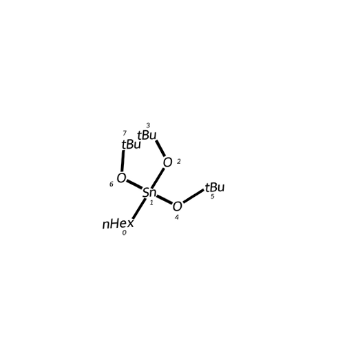 CCCCC[CH2][Sn]([O]C(C)(C)C)([O]C(C)(C)C)[O]C(C)(C)C